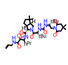 C=CCNC(=O)C(=O)C(CCC)NC(=O)[C@@H]1[C@H]2CCC(C)(C)[C@H]2CN1C(=O)[C@@H](NC(=O)N[C@H](CN1C(=O)CC(C)(C)CC1=O)C(C)(C)C)C(C)(C)C